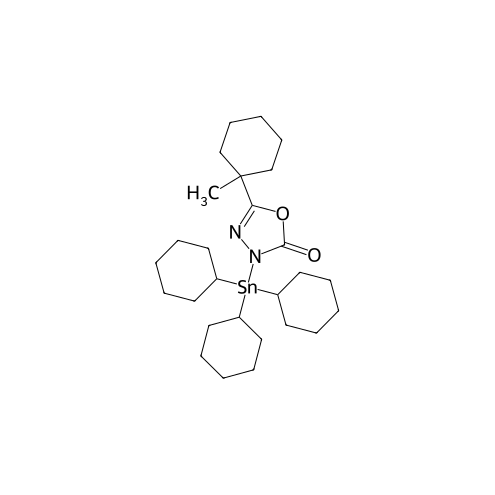 CC1(c2n[n]([Sn]([CH]3CCCCC3)([CH]3CCCCC3)[CH]3CCCCC3)c(=O)o2)CCCCC1